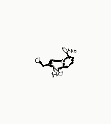 COc1cccc2nc(CCl)cn12.Cl